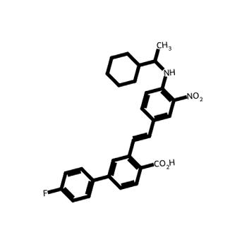 CC(Nc1ccc(/C=C/c2cc(-c3ccc(F)cc3)ccc2C(=O)O)cc1[N+](=O)[O-])C1CCCCC1